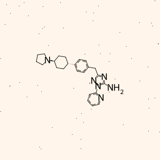 Nc1nc(Cc2ccc([C@H]3CC[C@H](N4CCCC4)CC3)cc2)nn1-c1ccccn1